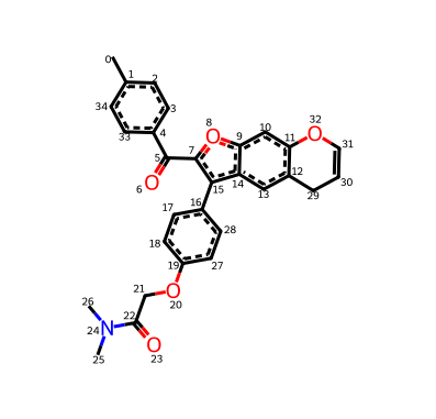 Cc1ccc(C(=O)c2oc3cc4c(cc3c2-c2ccc(OCC(=O)N(C)C)cc2)CC=CO4)cc1